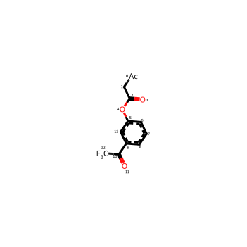 CC(=O)CC(=O)Oc1cccc(C(=O)C(F)(F)F)c1